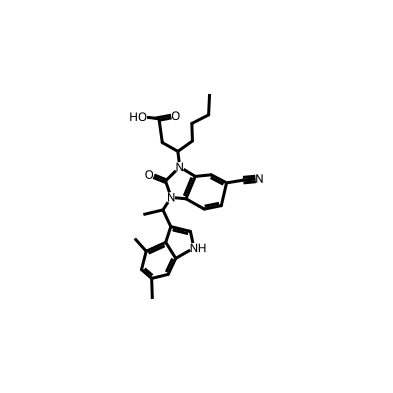 CCCCC(CC(=O)O)n1c(=O)n(C(C)c2c[nH]c3cc(C)cc(C)c23)c2ccc(C#N)cc21